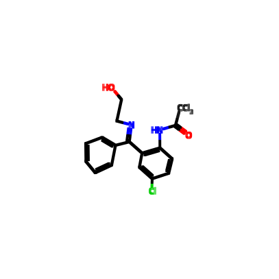 O=C(Nc1ccc(Cl)cc1C(=NCCO)c1ccccc1)C(Cl)(Cl)Cl